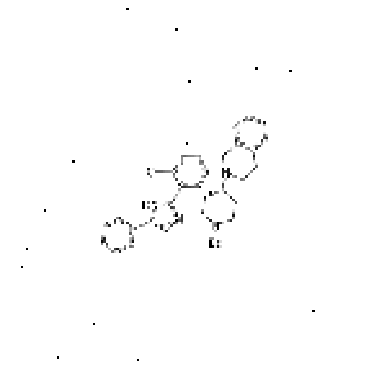 CCN1CCC([N+]2(c3ccc(Cl)c(-c4ncc(-c5ccccc5)[nH]4)c3)CCc3ccccc3C2)CC1